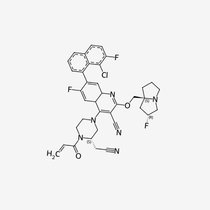 C=CC(=O)N1CCN(C2=C(C#N)C(OC[C@@]34CCCN3C[C@H](F)C4)=NC3C=C(c4cccc5ccc(F)c(Cl)c45)C(F)=CC23)C[C@@H]1CC#N